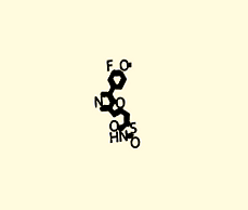 COc1ccc(-c2cncc3cc(/C=C4/SC(=O)NC4=O)oc23)cc1F